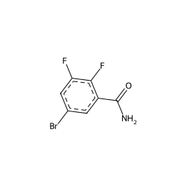 NC(=O)c1cc(Br)cc(F)c1F